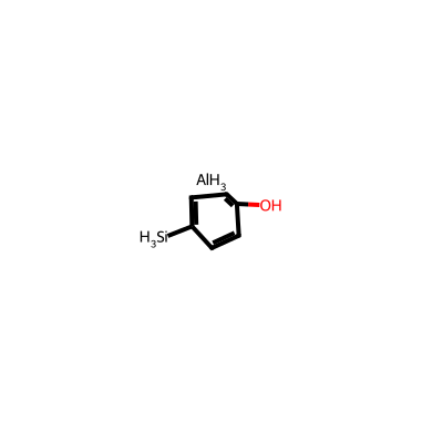 Oc1ccc([SiH3])cc1.[AlH3]